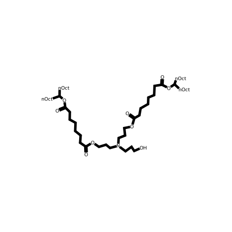 CCCCCCCCC(CCCCCCCC)OC(=O)CCCCCCC(=O)OCCCN(CCCO)CCCOC(=O)CCCCCCC(=O)OC(CCCCCCCC)CCCCCCCC